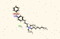 CCCCCCC[N+](CC)(CC)CCCCc1ccc(NS(=O)(=O)c2ccccc2)cc1.[Cl-]